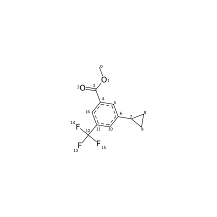 COC(=O)c1cc(C2CC2)cc(C(F)(F)F)c1